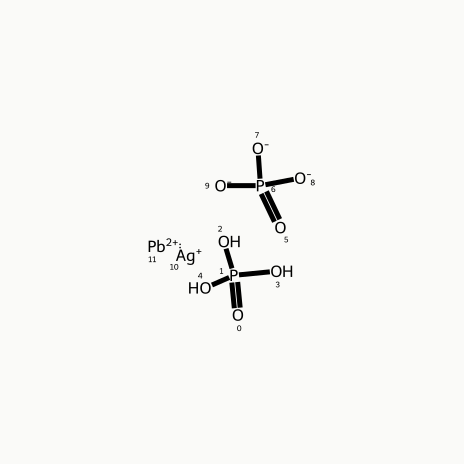 O=P(O)(O)O.O=P([O-])([O-])[O-].[Ag+].[Pb+2]